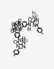 Cc1ccc(-c2cnc(N)c(C(=O)Nc3ccc(S(=O)(=O)OP(C)(=O)OS(=O)(=O)c4ccc(NC(=O)c5nc(-c6ccc(C)cc6)cnc5N)cc4F)c(F)c3)n2)cc1